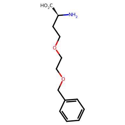 N[C@@H](CCOCCOCc1ccccc1)C(=O)O